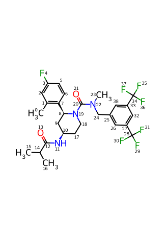 Cc1cc(F)ccc1[C@@H]1C[C@H](NC(=O)C(C)C)CCN1C(=O)N(C)Cc1cc(C(F)(F)F)cc(C(F)(F)F)c1